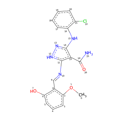 COc1cccc(O)c1/C=N/c1[nH]nc(Nc2ccccc2Cl)c1C(N)=O